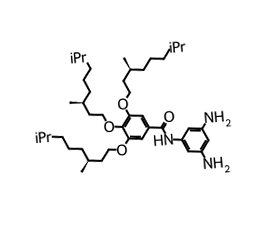 CC(C)CCC[C@H](C)CCOc1cc(C(=O)Nc2cc(N)cc(N)c2)cc(OCC[C@@H](C)CCCC(C)C)c1OCC[C@@H](C)CCCC(C)C